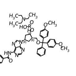 CCN(CC)CC.COc1ccc(C(OC[C@H]2C[C@@H](n3cnc4c(NC(=O)c5ccccc5)ncnc43)C[C@@H]2O[PH](=O)O)(c2ccccc2)c2ccc(OC)cc2)cc1